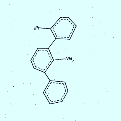 CC(C)c1ccccc1-c1cccc(-c2ccccc2)c1N